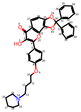 O=c1c(O)c(-c2ccc(OCCCCN3CCCCC3)cc2)oc2c3c(ccc12)OC(c1ccccc1)(c1ccccc1)O3